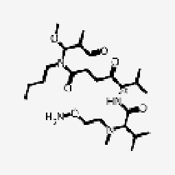 CCCCN(C(=O)CCC(=O)[C@@H](NC(=O)C(C(C)C)N(C)CCON)C(C)C)C(OC)C(C)C=O